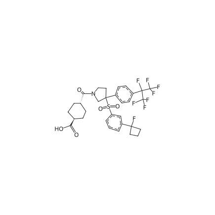 O=C(O)[C@H]1CC[C@H](C(=O)N2CCC(c3ccc(C(F)(C(F)(F)F)C(F)(F)F)cc3)(S(=O)(=O)c3cccc(C4(F)CCC4)c3)C2)CC1